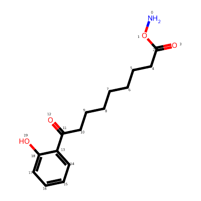 NOC(=O)CCCCCCCC(=O)c1ccccc1O